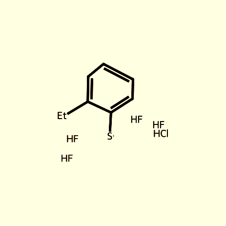 CCc1ccccc1[S].Cl.F.F.F.F